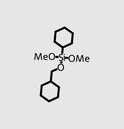 CO[Si](OC)(OCC1CCCCC1)C1CCCCC1